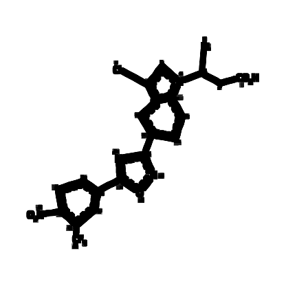 CCC(CC(=O)O)n1cc(Cl)c2cc(-c3noc(-c4ccc([N+](=O)[O-])c(C(F)(F)F)c4)n3)ccc21